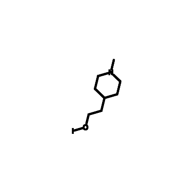 CN1CCC(CCOI)CC1